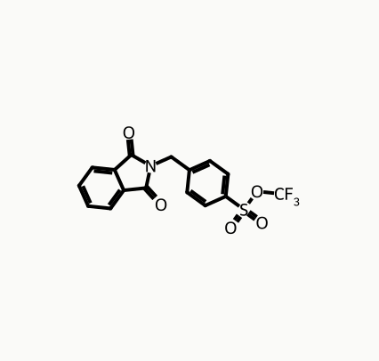 O=C1c2ccccc2C(=O)N1Cc1ccc(S(=O)(=O)OC(F)(F)F)cc1